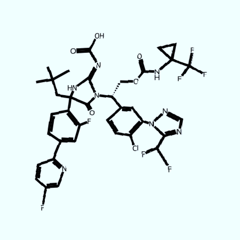 CC(C)(C)CC1(c2ccc(-c3ccc(F)cn3)cc2F)NC(=NC(=O)O)N([C@H](COC(=O)NC2(C(F)(F)F)CC2)c2ccc(Cl)c(-n3ncnc3C(F)F)c2)C1=O